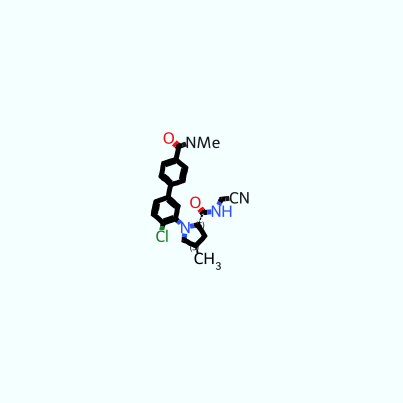 CNC(=O)c1ccc(-c2ccc(Cl)c(N3C[C@@H](C)C[C@H]3C(=O)NCC#N)c2)cc1